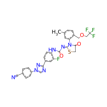 Cc1ccc(COCC(F)(F)F)c(N2C(=O)CSC2=NC(=O)Nc2ccc(-c3ncn(-c4ccc(C#N)cc4)n3)cc2F)c1